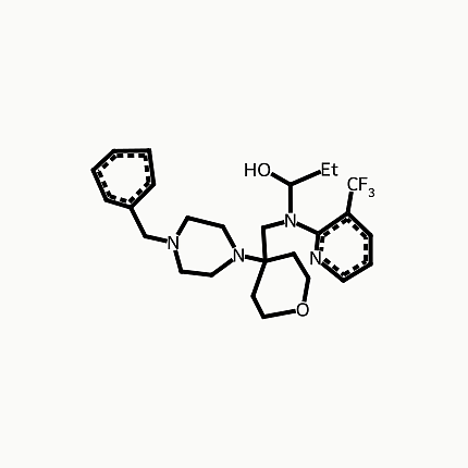 CCC(O)N(CC1(N2CCN(Cc3ccccc3)CC2)CCOCC1)c1ncccc1C(F)(F)F